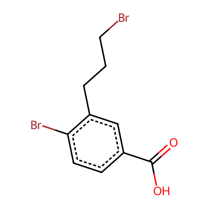 O=C(O)c1ccc(Br)c(CCCBr)c1